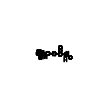 CC(C)(C)OC(=O)N1CCC[C@H]1c1nc2cc(-c3ccc(-c4ccc(-c5cnc(C6CCCC6)[nH]5)c5c4CC4(CCCC4)C5)cc3)ccc2[nH]1